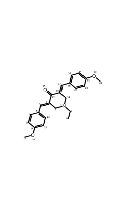 CCN1C/C(=C\c2ccc(OC)cc2)C(=O)/C(=C/c2ccc(OC)cc2)C1